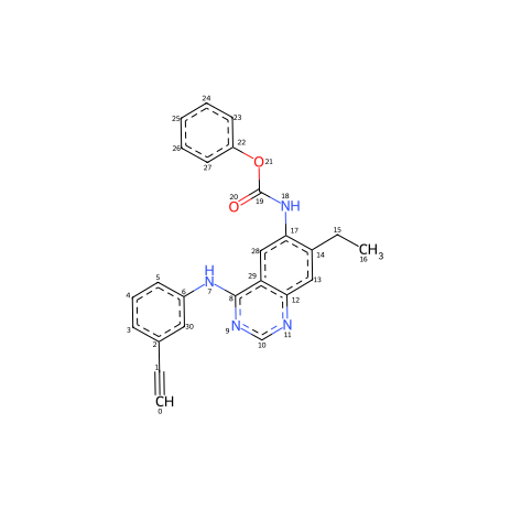 C#Cc1cccc(Nc2ncnc3cc(CC)c(NC(=O)Oc4ccccc4)cc23)c1